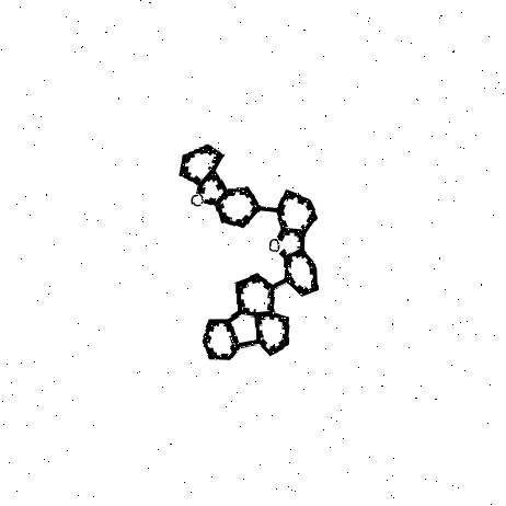 c1ccc2c(c1)-c1cccc3c(-c4cccc5c4oc4c(-c6ccc7oc8ccccc8c7c6)cccc45)ccc-2c13